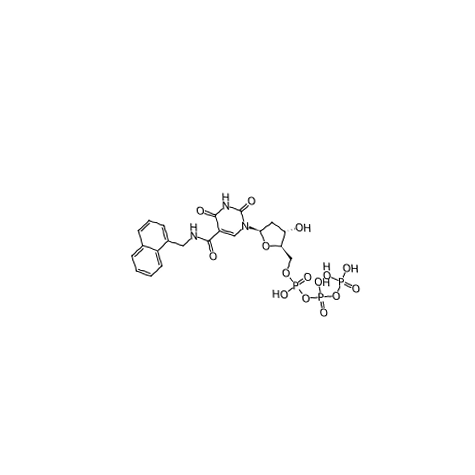 O=C(NCc1cccc2ccccc12)c1cn([C@H]2C[C@H](O)[C@@H](COP(=O)(O)OP(=O)(O)OP(=O)(O)O)O2)c(=O)[nH]c1=O